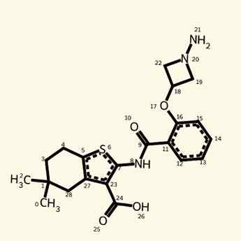 CC1(C)CCc2sc(NC(=O)c3ccccc3OC3CN(N)C3)c(C(=O)O)c2C1